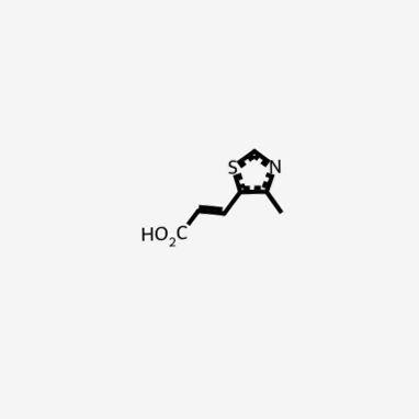 Cc1ncsc1C=CC(=O)O